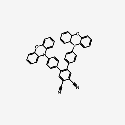 N#Cc1cc(-c2ccc(N3c4ccccc4Oc4ccccc43)cc2)c(-c2ccc(N3c4ccccc4OC4C=CC=CC43)cc2)cc1C#N